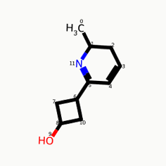 CC1CC=CC(C2CC(O)C2)=N1